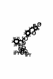 CC(C)OP(=O)(OCOC(COc1ccc(CC2SC(=O)CC2=O)cc1)c1ccccc1F)OC(C)C